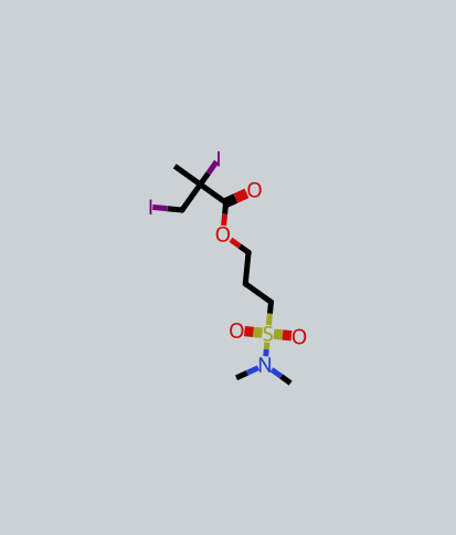 CN(C)S(=O)(=O)CCCOC(=O)C(C)(I)CI